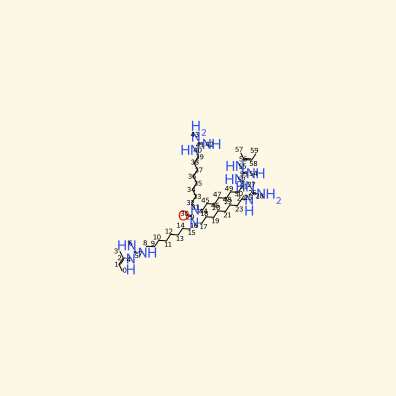 CC=C(C)NC(=N)NCCCCCCCCN(CCCCCCCCNC(=N)N)C(=O)N(CCCCCCCCNC(=N)N)CCCCCCCCNC(=N)NC(C)=CC